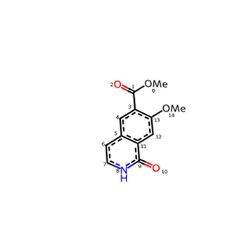 COC(=O)c1cc2cc[nH]c(=O)c2cc1OC